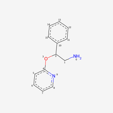 NCC(Oc1ccccn1)c1ccccc1